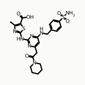 Cc1nc(Nc2nc(CC(=O)N3CCCCC3)cc(NCc3ccc(S(N)(=O)=O)cc3)n2)sc1C(=O)O